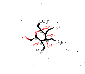 O=C(O)C[C@@]1(O)[C@](O)(CC(=O)O)[C@@](O)(CC(=O)O)[C@@H](CO)O[C@]1(O)CC(=O)O